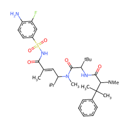 CNC(C(=O)NC(C(=O)N(C)C(C=C(C)C(=O)NS(=O)(=O)c1ccc(N)c(F)c1)C(C)C)C(C)(C)C)C(C)(C)c1ccccc1